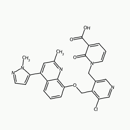 Cc1cc(-c2ccnn2C)c2cccc(OCc3c(Cl)cncc3Cn3cccc(C(=O)O)c3=O)c2n1